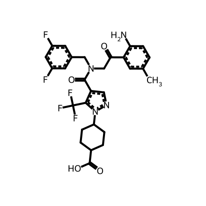 Cc1ccc(N)c(C(=O)CN(Cc2cc(F)cc(F)c2)C(=O)c2cnn(C3CCC(C(=O)O)CC3)c2C(F)(F)F)c1